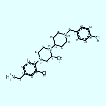 CC[C@H]1CN(c2ncc(CN)cc2Cl)CCN1C1CCN(Cc2ccc(Cl)cc2)CC1